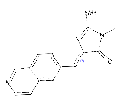 CSC1=N/C(=C\c2ccc3cnccc3c2)C(=O)N1C